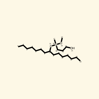 CCCCCCCC(CCCCCCC)O[Si](C)(CCCO)OC